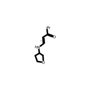 CC(C)C(=O)/C=C/NC1CCOC1